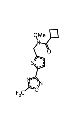 CON(Cc1ccc(-c2noc(C(F)(F)F)n2)s1)C(=O)C1CCC1